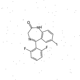 O=C1CN=C(c2c(F)cccc2F)c2cc(I)ccc2N1